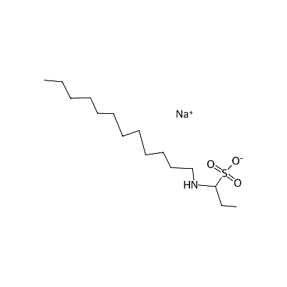 CCCCCCCCCCCCNC(CC)S(=O)(=O)[O-].[Na+]